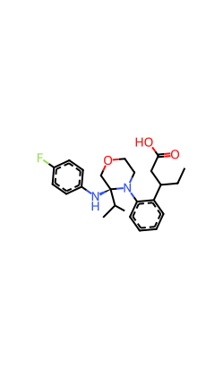 CCC(CC(=O)O)c1ccccc1N1CCOC[C@@]1(Nc1ccc(F)cc1)C(C)C